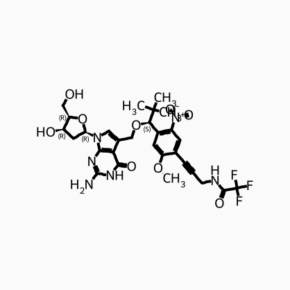 COc1cc([C@@H](OCc2cn([C@H]3C[C@@H](O)[C@@H](CO)O3)c3nc(N)[nH]c(=O)c23)C(C)(C)C)c([N+](=O)[O-])cc1C#CCNC(=O)C(F)(F)F